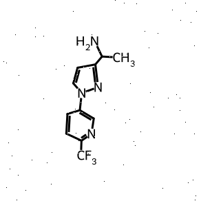 CC(N)c1ccn(-c2ccc(C(F)(F)F)nc2)n1